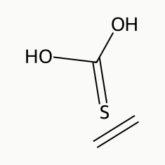 C=C.OC(O)=S